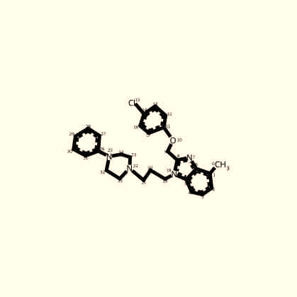 Cc1cccc2c1nc(COc1ccc(Cl)cc1)n2CCCN1CCN(c2ccccc2)CC1